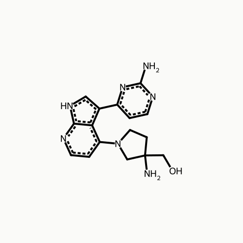 Nc1nccc(-c2c[nH]c3nccc(N4CCC(N)(CO)C4)c23)n1